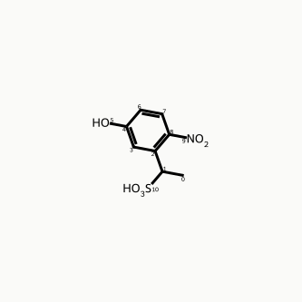 CC(c1cc(O)ccc1[N+](=O)[O-])S(=O)(=O)O